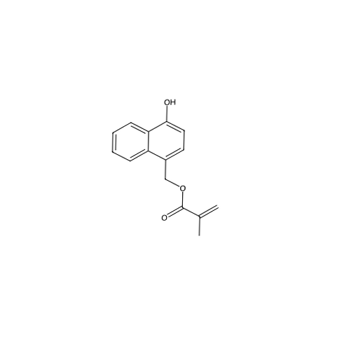 C=C(C)C(=O)OCc1ccc(O)c2ccccc12